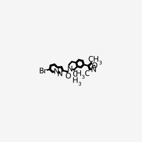 Cc1noc(C)c1-c1ccc2c(c1)C(C)N(C(=O)c1cc3ccc(Br)cn3n1)CC2